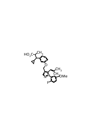 COc1ccc(F)c(-n2ncc(COc3cccc(C(C4CC4)[C@H](C)C(=O)O)c3)c2C=C(C)C)c1